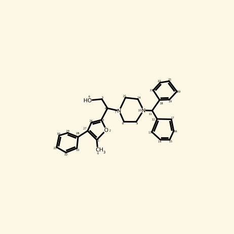 Cc1oc(C(CO)N2CCN(C(c3ccccc3)c3ccccc3)CC2)cc1-c1ccccc1